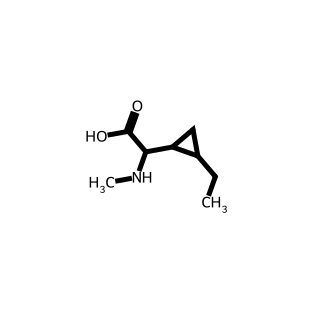 CCC1CC1C(NC)C(=O)O